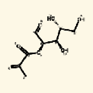 C=C(C)C(=O)O[C@@H](C=O)[C@H](O)[C@H](O)CO